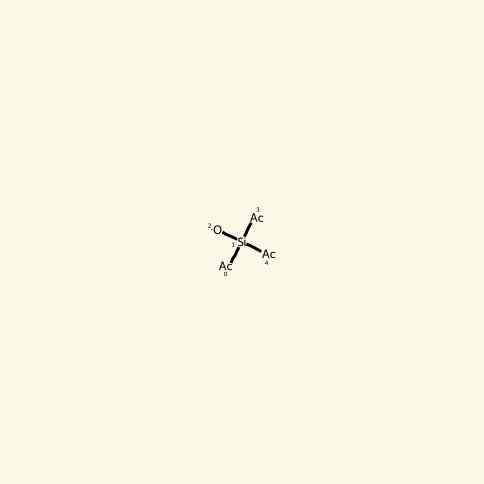 CC(=O)[Si]([O])(C(C)=O)C(C)=O